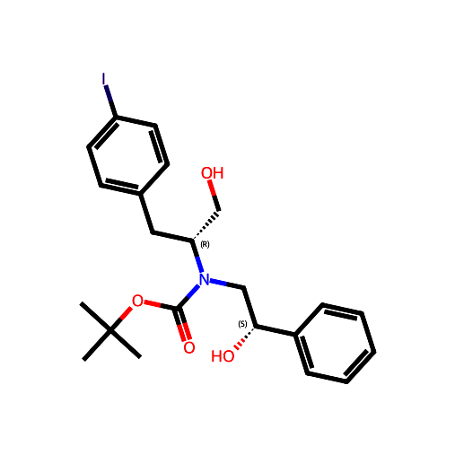 CC(C)(C)OC(=O)N(C[C@@H](O)c1ccccc1)[C@@H](CO)Cc1ccc(I)cc1